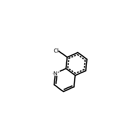 Clc1cccc2c1[N+]=CC=C2